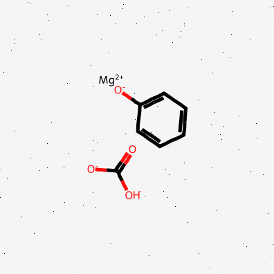 O=C([O-])O.[Mg+2].[O-]c1ccccc1